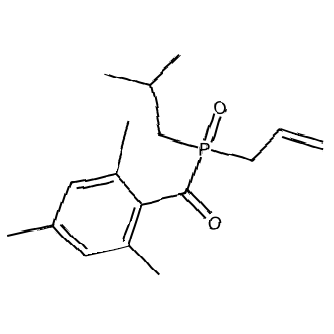 C=CCP(=O)(CC(C)C)C(=O)c1c(C)cc(C)cc1C